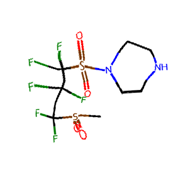 CS(=O)(=O)C(F)(F)C(F)(F)C(F)(F)S(=O)(=O)N1CCNCC1